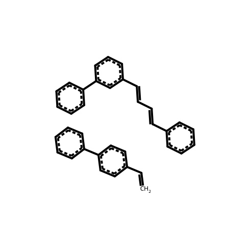 C(C=Cc1cccc(-c2ccccc2)c1)=Cc1ccccc1.C=Cc1ccc(-c2ccccc2)cc1